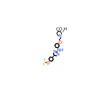 O=C(O)C1CCN(CCOc2cccc(Nc3ncc(-c4ccc(OC(F)F)cc4)cn3)c2)CC1